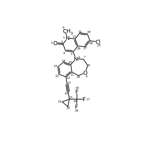 Cn1c(=O)cc(N2CCOCc3c(C#CC4(C(F)(F)F)CC4)cccc32)c2cc(Cl)ccc21